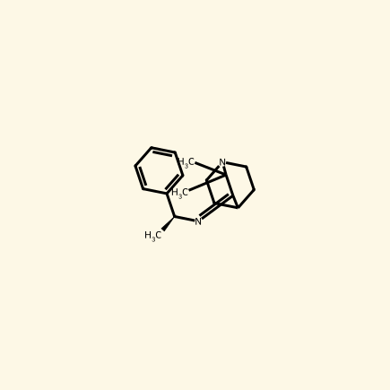 C[C@H](/N=C1/C2CCN(CC2)C1(C)C)c1ccccc1